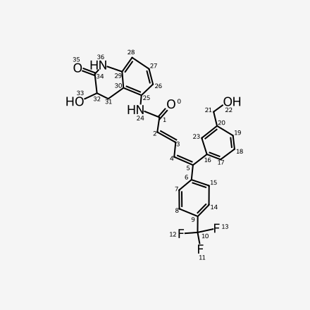 O=C(/C=C/C=C(/c1ccc(C(F)(F)F)cc1)c1cccc(CO)c1)Nc1cccc2c1CC(O)C(=O)N2